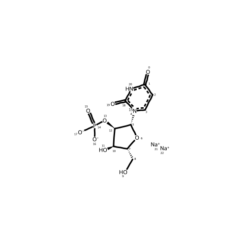 O=c1cc[15n]([C@@H]2O[C@H](CO)[C@@H](O)[C@H]2OP(=O)([O-])[O-])c(=O)[nH]1.[Na+].[Na+]